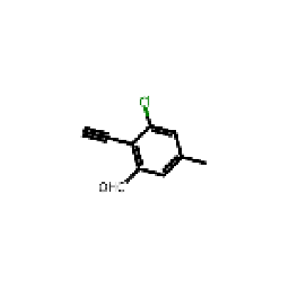 C#Cc1c(Cl)cc(C)cc1C=O